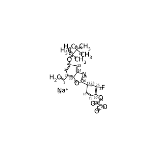 C=Cc1cc(O[Si](C)(C)C(C)(C)C)cc2nc(-c3ccc(OS(=O)(=O)[O-])c(F)c3)oc12.[Na+]